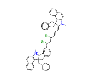 CN1/C(=C/C=C/C(Br)=C/C(Br)=C/C=C/C2=[N+](C)c3ccc4ccccc4c3C2(Cc2ccccc2)Cc2ccccc2)C(Cc2ccccc2)(Cc2ccccc2)c2c1ccc1ccccc21